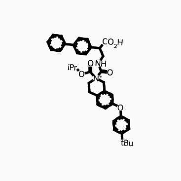 CC(C)OC(=O)[N+]1(C(=O)NCC(C(=O)O)c2ccc(-c3ccccc3)cc2)CCc2ccc(Oc3ccc(C(C)(C)C)cc3)cc2C1